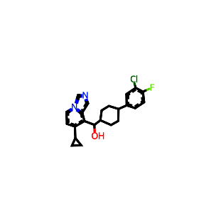 OC(c1c(C2CC2)ccn2cncc12)C1CCC(c2ccc(F)c(Cl)c2)CC1